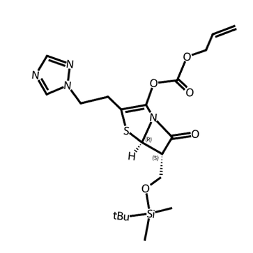 C=CCOC(=O)OC1=C(CCn2cncn2)S[C@@H]2[C@@H](CO[Si](C)(C)C(C)(C)C)C(=O)N12